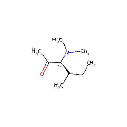 CCC(C)[C@@H](C(C)=O)N(C)C